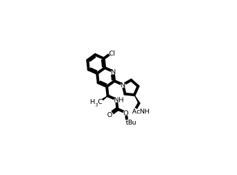 CC(=O)NC[C@@H]1CCN(c2nc3c(Cl)cccc3cc2[C@H](C)NC(=O)OC(C)(C)C)C1